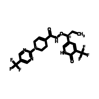 CC[C@H](ONC(=O)C1=CCN(c2ncc(C(F)(F)F)cn2)CC1)c1c[nH]c(=O)c(C(F)(F)F)c1